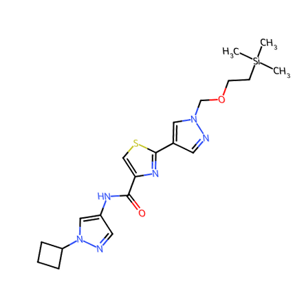 C[Si](C)(C)CCOCn1cc(-c2nc(C(=O)Nc3cnn(C4CCC4)c3)cs2)cn1